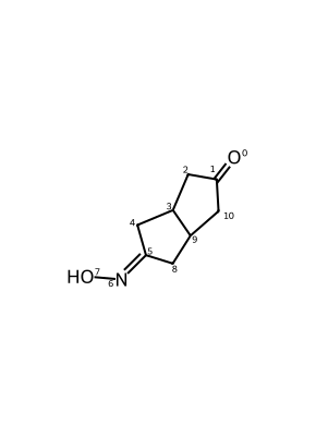 O=C1CC2CC(=NO)CC2C1